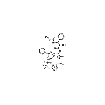 CC(=O)OC12CO[C@H]1C[C@H](O)[C@@]1(C)C(=O)[C@H](O)C3=C(C)[C@H](OC(=O)[C@H](O)[C@@H](NC(=O)OC(C)(C)C)c4ccccc4)C[C@@](O)([C@H](OC(=O)c4ccccc4)[C@@H]21)C3(C)C